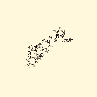 CC1(C)Oc2cc(Cl)ccc2[C@@H]2OCC3(CCN(CCn4ccnc4CO)CC3)C[C@H]21